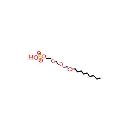 CCCCCCCCCOCCOCCOCCOS(=O)(=O)O